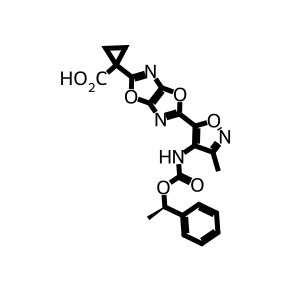 Cc1noc(-c2nc3oc(C4(C(=O)O)CC4)nc3o2)c1NC(=O)O[C@H](C)c1ccccc1